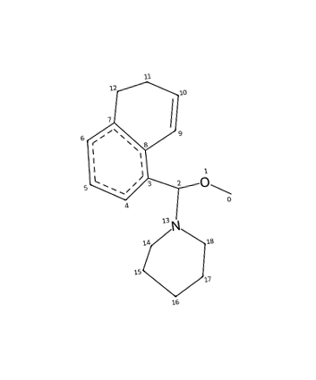 COC(c1cccc2c1C=CCC2)N1CCCCC1